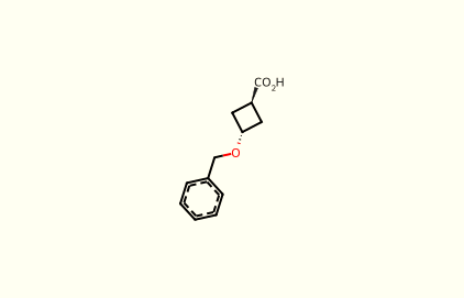 O=C(O)[C@H]1C[C@H](OCc2ccccc2)C1